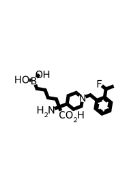 CC(F)c1ccccc1CN1CCC(C(N)(CCCCB(O)O)C(=O)O)CC1